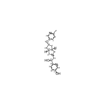 Cc1ccc(O[C@H]2C[C@@H]3CN(CC(O)c4ccc(O)cn4)C[C@@H]3C2)cn1